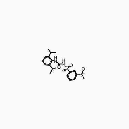 CC(C)c1cccc(C(C)C)c1NC(=O)NS(=O)(=O)c1cccc([S+](C)[O-])c1